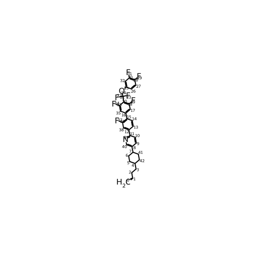 C=CCCC1CCC(c2ccc(-c3ccc(-c4cc(F)c(C(F)(F)Oc5ccc(F)c(F)c5)c(F)c4)c(F)c3)nc2)CC1